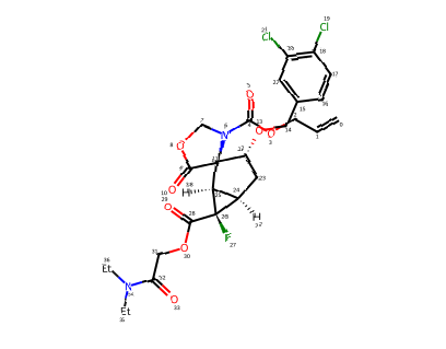 C=CCOC(=O)N1COC(=O)[C@@]12[C@H](OCc1ccc(Cl)c(Cl)c1)C[C@@H]1[C@H]2[C@@]1(F)C(=O)OCC(=O)N(CC)CC